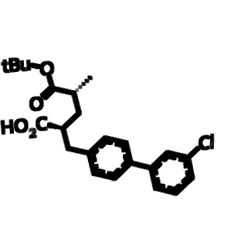 C[C@H](C[C@@H](Cc1ccc(-c2cccc(Cl)c2)cc1)C(=O)O)C(=O)OC(C)(C)C